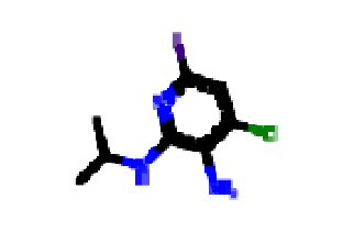 CC(C)Nc1nc(I)cc(Cl)c1N